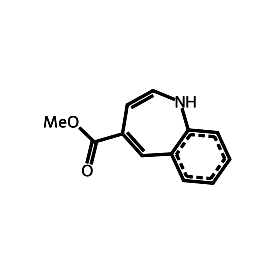 COC(=O)C1=Cc2ccccc2NC=C1